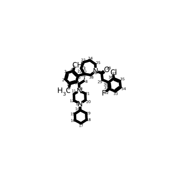 Cc1ccc(C)c([C@@]2(CCN3CCN(C4CCCCC4)CC3)CCCCN(C(=O)Cc3c(F)cccc3Cl)C2)c1